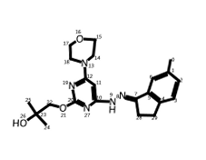 Cc1ccc2c(c1)C(=NNc1cc(N3CCOCC3)nc(OCC(C)(C)O)n1)CC2